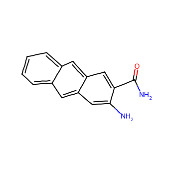 NC(=O)c1cc2cc3ccccc3cc2cc1N